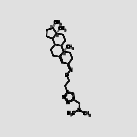 C[C@H]1CCC2C3CCC4=CC(=NOCCn5cc(CN(C)C)nn5)CC[C@]4(C)C3CC[C@@]21C